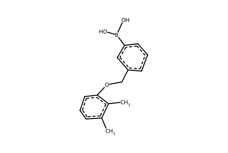 Cc1cccc(OCc2cccc(B(O)O)c2)c1C